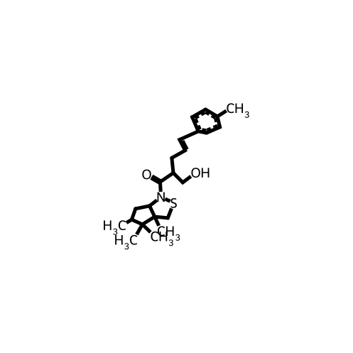 Cc1ccc(/C=C/CC(CO)C(=O)N2SCC3(C)C2CC(C)C3(C)C)cc1